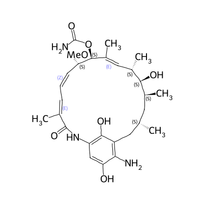 CO[C@H]1/C=C\C=C(/C)C(=O)Nc2cc(O)c(N)c(c2O)C[C@@H](C)C[C@H](C)[C@H](O)[C@@H](C)/C=C(\C)[C@@H]1OC(N)=O